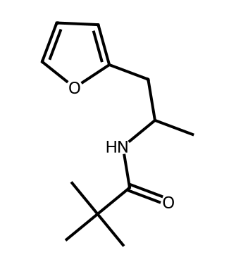 CC(Cc1ccco1)NC(=O)C(C)(C)C